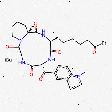 CCC(=O)CCCCC[C@@H]1NC(=O)[C@H]2CCCCN2C(=O)[C@H]([C@H](C)CC)NC(=O)[C@@H](C(=O)c2ccc3c(ccn3C)c2)NC1=O